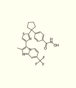 Cc1nc2cc(C(F)(F)F)ccn2c1-c1csc(C2(c3ccc(C(=O)NO)cc3)CCCC2)n1